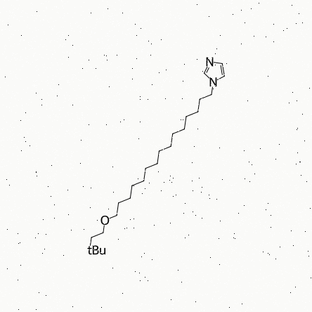 CC(C)(C)CCOCCCCCCCCCCCCCCCn1ccnc1